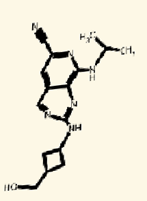 CC(C)Nc1nc(C#N)cc2cnc(NC3CC(CO)C3)nc12